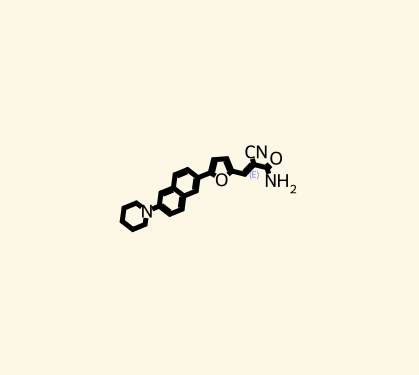 N#C/C(=C\c1ccc(-c2ccc3cc(N4CCCCC4)ccc3c2)o1)C(N)=O